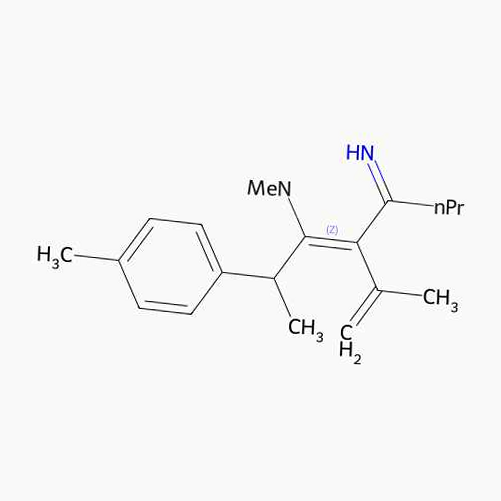 C=C(C)/C(C(=N)CCC)=C(/NC)C(C)c1ccc(C)cc1